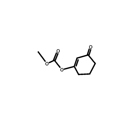 COC(=O)OC1=CC(=O)CCC1